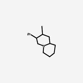 CC(C)C1CN2CCCCC2CC1C